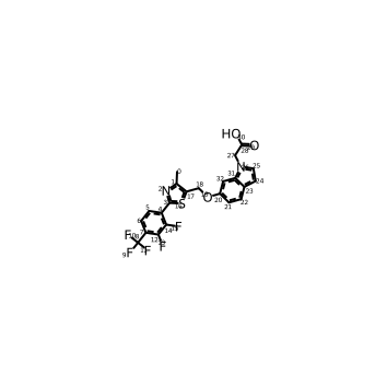 Cc1nc(-c2ccc(C(F)(F)F)c(F)c2F)sc1COc1ccc2ccn(CC(=O)O)c2c1